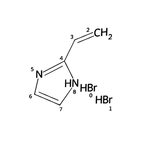 Br.Br.C=Cc1ncc[nH]1